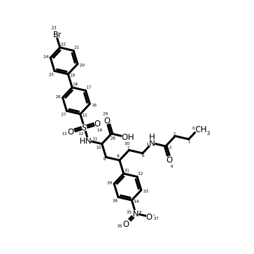 CCCC(=O)NCCC(CC(NS(=O)(=O)c1ccc(-c2ccc(Br)cc2)cc1)C(=O)O)c1ccc([N+](=O)[O-])cc1